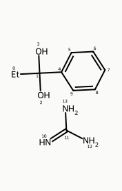 CCC(O)(O)c1ccccc1.N=C(N)N